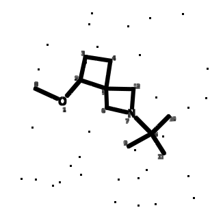 COC1CCC12CN(C(C)(C)C)C2